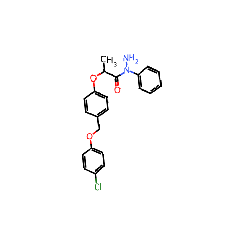 CC(Oc1ccc(COc2ccc(Cl)cc2)cc1)C(=O)N(N)c1ccccc1